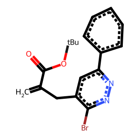 C=C(Cc1cc(-c2ccccc2)nnc1Br)C(=O)OC(C)(C)C